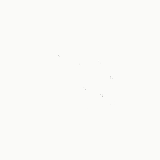 CC(C)=CCn1c(=O)n(C)c2ncnc(N3CCNCC3)c21